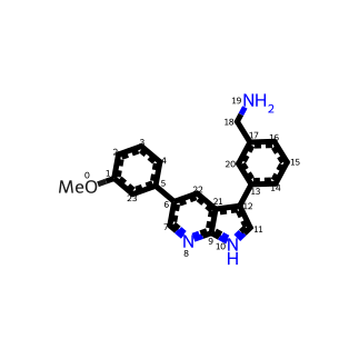 COc1cccc(-c2cnc3[nH]cc(-c4cccc(CN)c4)c3c2)c1